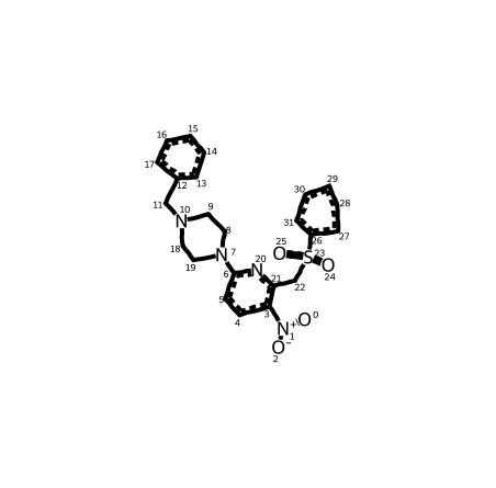 O=[N+]([O-])c1ccc(N2CCN(Cc3ccccc3)CC2)nc1CS(=O)(=O)c1ccccc1